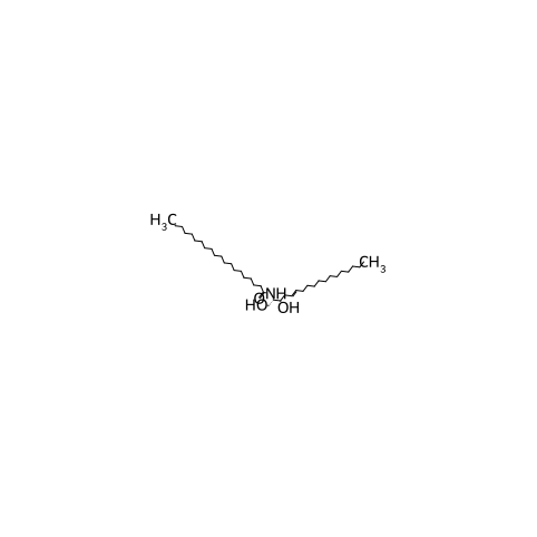 CCCCCCCCCCCCC=CC[C@@H](O)[C@H](CO)NC(=O)CCCCCCCCCCCCCCCCCCC